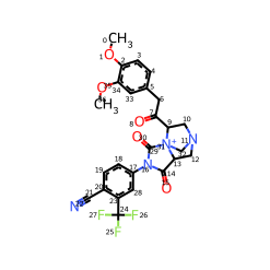 COc1ccc(CC(=O)C2CN3CC4C(=O)N(c5ccc(C#N)c(C(F)(F)F)c5)C(=O)[N+]24C3)cc1OC